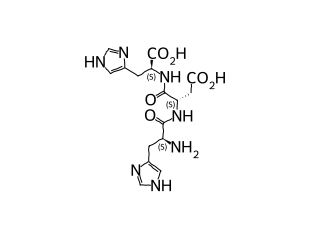 N[C@@H](Cc1c[nH]cn1)C(=O)N[C@@H](CC(=O)O)C(=O)N[C@@H](Cc1c[nH]cn1)C(=O)O